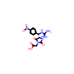 N=C(N)NC(c1ccc([N+](=O)[O-])cc1)[C@@H]1NC(=O)N(CC(=O)O)C1=O